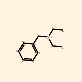 CC[Si](CC)Cc1ccccc1